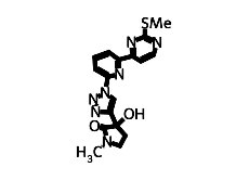 CSc1nccc(-c2cccc(-n3cc(C4(O)CCN(C)C4=O)nn3)n2)n1